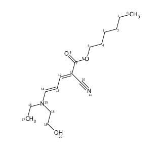 CCCCCCOC(=O)/C(C#N)=C/C=C/N(CC)CCO